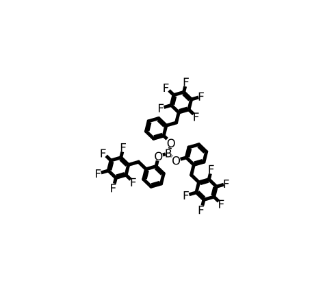 Fc1c(F)c(F)c(Cc2ccccc2OB(Oc2ccccc2Cc2c(F)c(F)c(F)c(F)c2F)Oc2ccccc2Cc2c(F)c(F)c(F)c(F)c2F)c(F)c1F